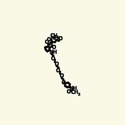 CNC(=O)C(CCC=O)N1C(=O)c2cccc(NCCOCCOCCOCCOCCOc3ccc(NC(C)=O)cc3)c2C1=O